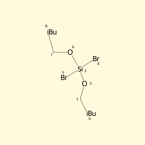 CCC(C)CO[Si](Br)(Br)OCC(C)CC